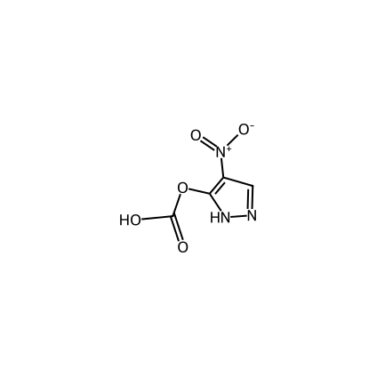 O=C(O)Oc1[nH]ncc1[N+](=O)[O-]